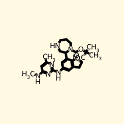 CNc1cc(C)nc(Nc2cc3c(c(C4CNCCCN4C(=O)OC(C)(C)C)c2)OCC3)n1